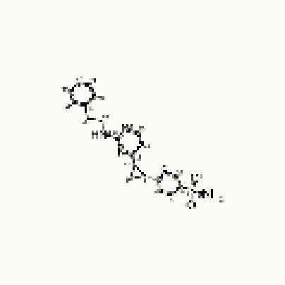 NS(=O)(=O)c1ccc([C@@H]2C[C@H]2c2ccnc(NCCc3ccccc3)n2)cc1